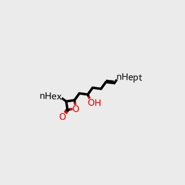 CCCCCCCC=CCCC(O)CC1OC(=O)C1CCCCCC